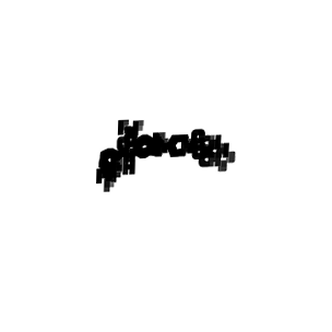 CC(C)(C)OC(=O)N1CCC(n2cc3cc(NC(=O)c4cccc(C(F)(F)F)n4)c(OC(F)F)cc3n2)CC1